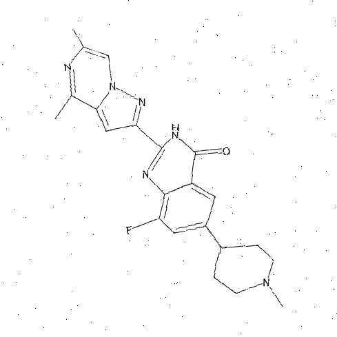 Cc1cn2nc(-c3nc4c(F)cc(C5CCN(C)CC5)cc4c(=O)[nH]3)cc2c(C)n1